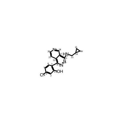 Oc1cc(Cl)ccc1-c1nnc(NCC2CC2)c2cnccc12